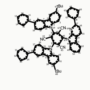 CC(C)(C)c1ccc2c(c1)c1cc(-c3ccccc3)ccc1n2-c1c(C#N)c(-n2c3ccc(-c4ccccc4)cc3c3cc(C(C)(C)C)ccc32)c(C#N)c(-n2c3ccccc3c3ccc(-c4ccccc4)nc32)c1C#N